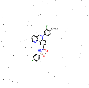 COc1ccc(N(Cc2cccnc2)c2ccc(C(=O)N[S+]([O-])c3ccc(F)cc3)cc2)cc1F